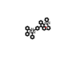 c1ccc(-c2nc(-c3ccc(-c4c5ccccc5c(-n5c(-c6ccccn6)nc6ccccc65)c5ccccc45)cc3)nc(-c3ccccc3-c3ccccc3)n2)cc1